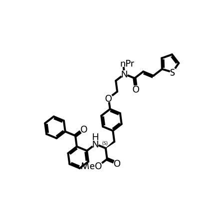 CCCN(CCOc1ccc(C[C@H](Nc2ccccc2C(=O)c2ccccc2)C(=O)OC)cc1)C(=O)C=Cc1cccs1